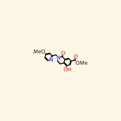 COC(=O)c1cc(O)c2c(c1)C(=O)N(Cc1cc(OC)ccn1)CC2